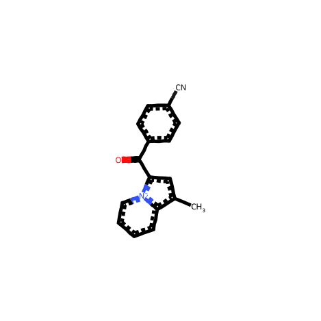 Cc1cc(C(=O)c2ccc(C#N)cc2)n2ccccc12